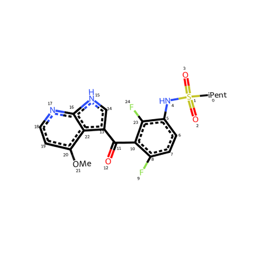 CCCC(C)S(=O)(=O)Nc1ccc(F)c(C(=O)c2c[nH]c3nccc(OC)c23)c1F